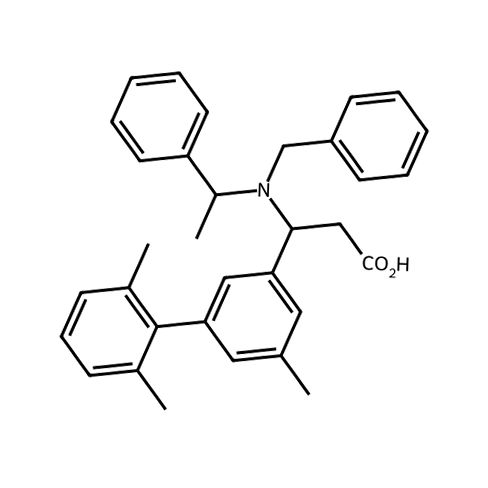 Cc1cc(-c2c(C)cccc2C)cc(C(CC(=O)O)N(Cc2ccccc2)C(C)c2ccccc2)c1